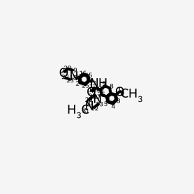 COc1cccc2c1CCC(C(=O)Nc1ccc(N3CCOCC3)cc1)C2N1CCN(C)CC1